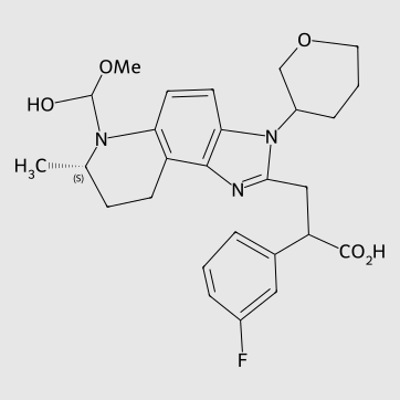 COC(O)N1c2ccc3c(nc(CC(C(=O)O)c4cccc(F)c4)n3C3CCCOC3)c2CC[C@@H]1C